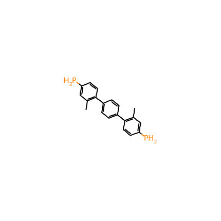 Cc1cc(P)ccc1-c1ccc(-c2ccc(P)cc2C)cc1